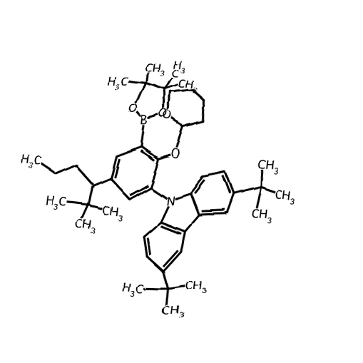 CCCC(c1cc(B2OC(C)(C)C(C)(C)O2)c(OC2CCCCO2)c(-n2c3ccc(C(C)(C)C)cc3c3cc(C(C)(C)C)ccc32)c1)C(C)(C)C